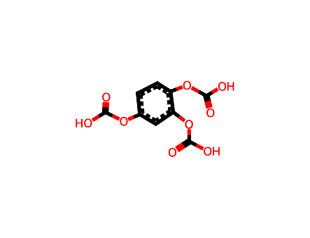 O=C(O)Oc1ccc(OC(=O)O)c(OC(=O)O)c1